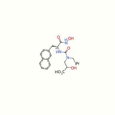 CC(C)CN(CC(O)C(=O)O)C(=O)N[C@@H](Cc1ccc2ccccc2c1)C(=O)NO